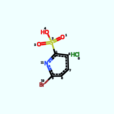 Cl.O=S(=O)(O)c1cccc(Br)n1